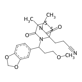 COCCC(c1ccc2c(c1)OCO2)N1C(=O)C2(C)SSC1(CCC#N)C(=O)N2C